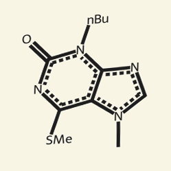 CCCCn1c(=O)nc(SC)c2c1ncn2C